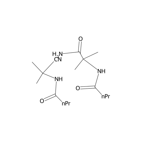 CCCC(=O)NC(C)(C)C#N.CCCC(=O)NC(C)(C)C(N)=O